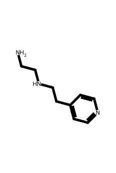 NCCNCCc1ccncc1